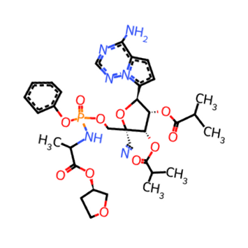 CC(C)C(=O)O[C@H]1[C@H](c2ccc3c(N)ncnn23)O[C@](C#N)(COP(=O)(NC(C)C(=O)O[C@@H]2CCOC2)Oc2ccccc2)[C@H]1OC(=O)C(C)C